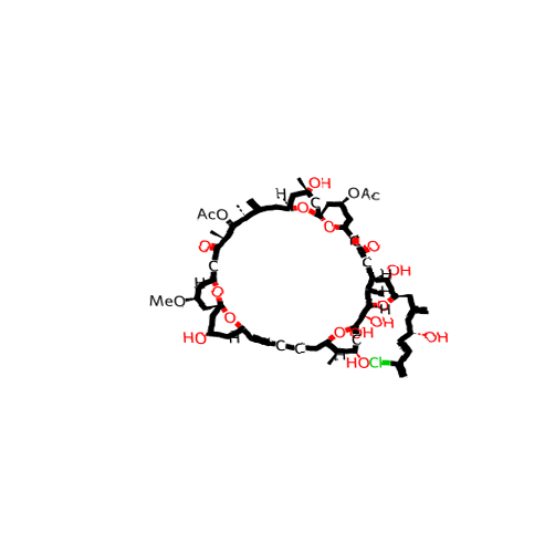 C=C(Cl)/C=C/[C@@H](O)CC(=C)C[C@H]1O[C@@H]2[C@H](C)[C@@H](CC(=O)C[C@H]3C[C@H](OC(C)=O)C[C@@]4(C[C@@](C)(O)C[C@H](CC(=C)[C@@H](C)C(OC(C)=O)[C@H](C)C(=O)C[C@@H]5C[C@H](OC)C[C@@]6(C[C@@H](O)C[C@H](/C=C\CCC[C@H]7O[C@](O)(C[C@H](O)[C@H]7C)[C@H]2O)O6)O5)O4)O3)[C@@H]1O